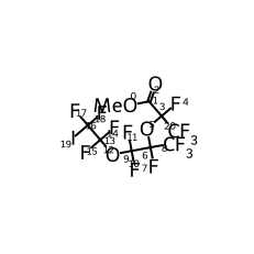 COC(=O)C(F)(OC(F)(C(F)(F)F)C(F)(F)OC(F)(F)C(F)(F)I)C(F)(F)F